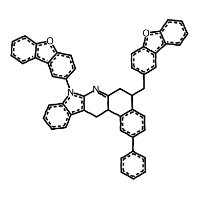 c1ccc(-c2ccc3c(c2)C2Cc4c(n(-c5ccc6oc7ccccc7c6c5)c5ccccc45)N=C2CC3Cc2ccc3oc4ccccc4c3c2)cc1